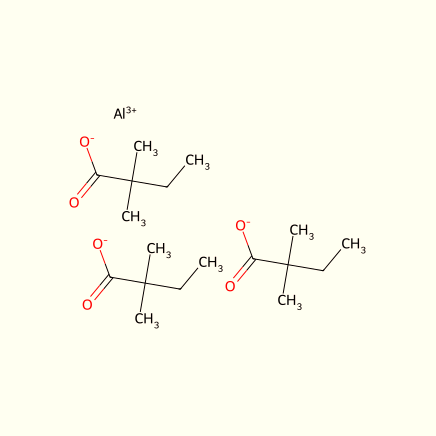 CCC(C)(C)C(=O)[O-].CCC(C)(C)C(=O)[O-].CCC(C)(C)C(=O)[O-].[Al+3]